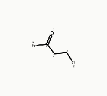 CC(C)C(=O)CC[O]